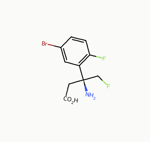 N[C@@](CF)(CC(=O)O)c1cc(Br)ccc1F